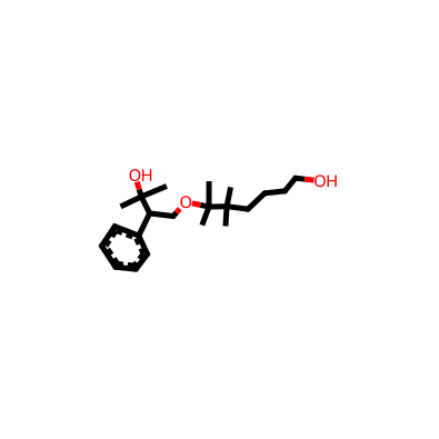 CC(C)(O)C(COC(C)(C)C(C)(C)CCCCO)c1ccccc1